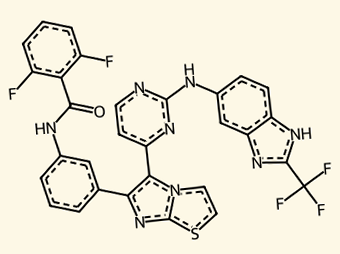 O=C(Nc1cccc(-c2nc3sccn3c2-c2ccnc(Nc3ccc4[nH]c(C(F)(F)F)nc4c3)n2)c1)c1c(F)cccc1F